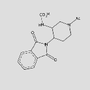 CC(=O)N1CCC(N2C(=O)c3ccccc3C2=O)C(NC(=O)O)C1